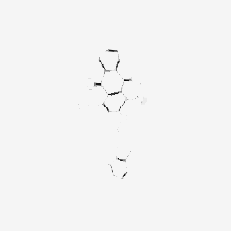 Cc1cccc(C)c1OCCOc1cc(O)c2c(c1N)C(=O)c1ccccc1C2=O